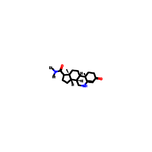 CCN(CC)C(=O)C1CC[C@H]2[C@@H]3CNC4=CC(=O)CC[C@]4(C)[C@@H]3CC[C@]12C